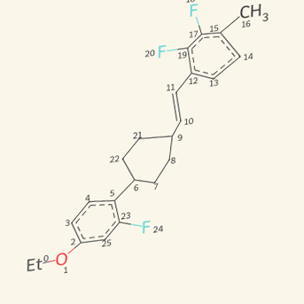 CCOc1ccc(C2CCC(/C=C/c3ccc(C)c(F)c3F)CC2)c(F)c1